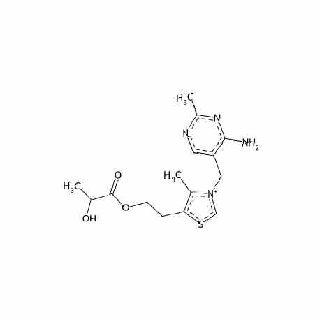 Cc1ncc(C[n+]2csc(CCOC(=O)C(C)O)c2C)c(N)n1